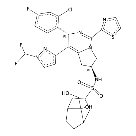 O=S(=O)(N[C@H]1CC2=C(c3ccn(C(F)F)n3)[C@H](c3ccc(F)cc3Cl)N=C(c3nccs3)N2C1)C1CC2CCC(C1)C2(O)CO